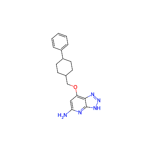 Nc1cc(OCC2CCC(c3ccccc3)CC2)c2nn[nH]c2n1